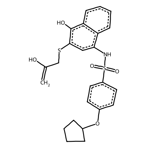 C=C(O)CSc1cc(NS(=O)(=O)c2ccc(OC3CCCC3)cc2)c2ccccc2c1O